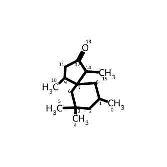 CC1CC(C)(C)CC2(C1)C(C)CC(=O)C2C